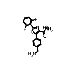 Cl.NCc1ccc(-c2oc(-c3c(F)cccc3F)nc2C(N)=O)cc1